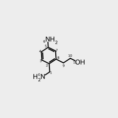 NCc1ccc(N)cc1CCO